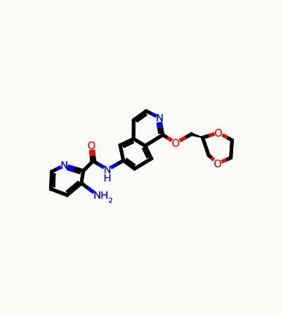 Nc1cccnc1C(=O)Nc1ccc2c(OC[C@@H]3COCCO3)nccc2c1